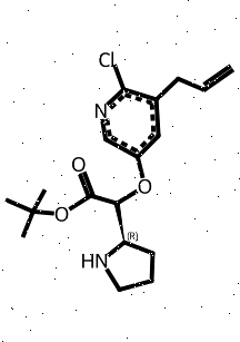 C=CCc1cc(OC(C(=O)OC(C)(C)C)[C@H]2CCCN2)cnc1Cl